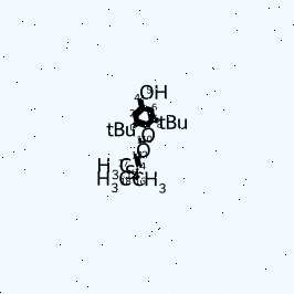 CC(C)(C)c1cc(CO)cc(C(C)(C)C)c1OCOCC[Si](C)(C)C